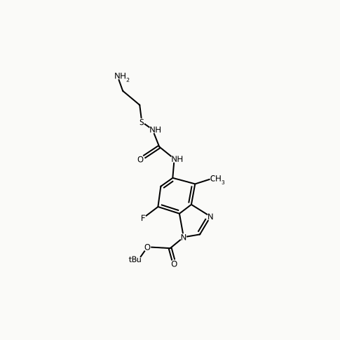 Cc1c(NC(=O)NSCCN)cc(F)c2c1ncn2C(=O)OC(C)(C)C